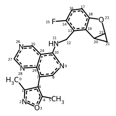 Cc1noc(C)c1-c1cnc(NCc2c(F)ccc3c2C2CC2O3)c2cncnc12